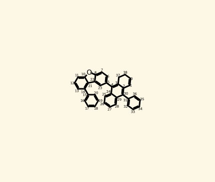 C1=Cc2c(c(-c3ccc4oc5cccc(-c6ccccc6)c5c4c3)c3ccccc3c2-c2ccccc2)CC1